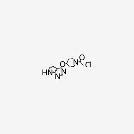 O=C(CCl)N1CCC(Oc2ncnc3[nH]ccc23)CC1